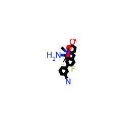 COC1CCC2(CC1)Cc1cc(F)c(-c3cccc(C#N)c3)cc1C21N=C(N)N(C)C1=O